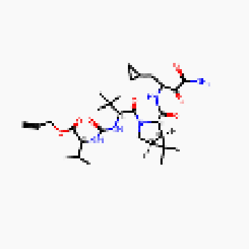 C#CCOC(=O)[C@@H](NC(=O)N[C@H](C(=O)N1C[C@H]2[C@@H]([C@H]1C(=O)NC(CC1CC1)C(=O)C(N)=O)C2(C)C)C(C)(C)C)C(C)C